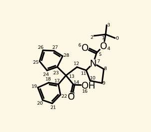 CC(C)(C)OC(=O)N1CCCC1CC(C(=O)O)(c1ccccc1)c1ccccc1